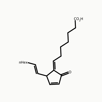 CCCCCCC=CC1C=CC(=O)C1=CCCCCCC(=O)O